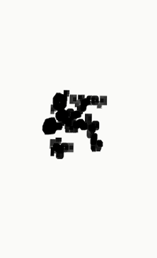 CC(C)(C)C(c1cc(-c2cc(F)ccc2F)cn1Cc1ccccc1)N(CCCNC(=O)OCC[Si](C)(C)C)C(=O)CSCC(N)C(=O)O.O=C(O)C(F)(F)F